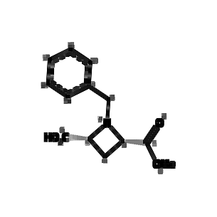 COC(=O)[C@@H]1C[C@H](C(=O)O)N1Cc1ccccc1